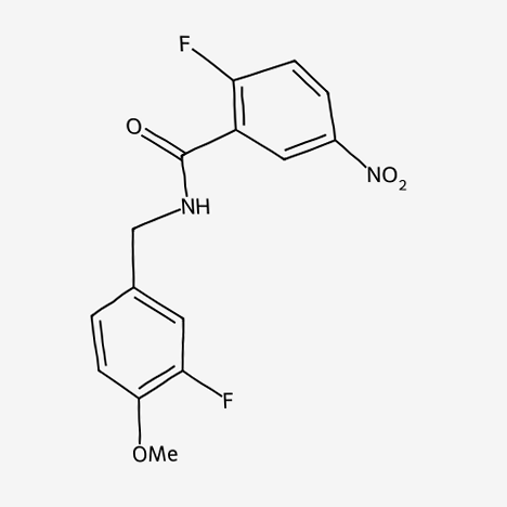 COc1ccc(CNC(=O)c2cc([N+](=O)[O-])ccc2F)cc1F